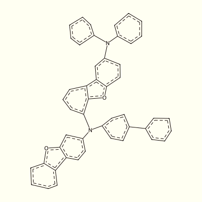 c1ccc(-c2ccc(N(c3ccc4c(c3)oc3ccccc34)c3cccc4c3oc3ccc(N(c5ccccc5)c5ccccc5)cc34)cc2)cc1